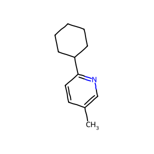 Cc1ccc(C2CCCCC2)nc1